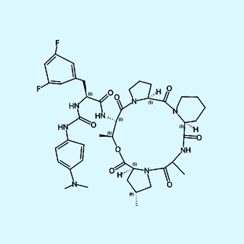 CC1NC(=O)[C@@H]2CCCCN2C(=O)[C@@H]2CCCN2C(=O)[C@@H](NC(=O)[C@H](Cc2cc(F)cc(F)c2)NC(=O)Nc2ccc(N(C)C)cc2)[C@H](C)OC(=O)[C@@H]2C[C@@H](C)CN2C1=O